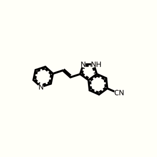 N#Cc1ccc2c(C=Cc3cccnc3)n[nH]c2c1